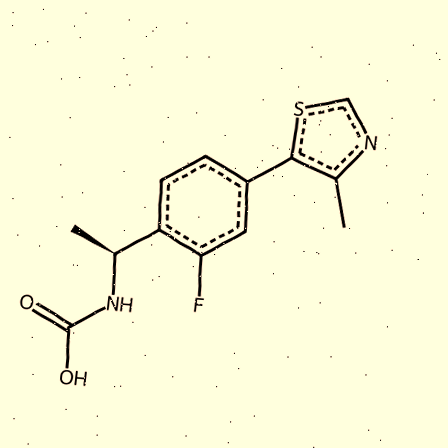 Cc1ncsc1-c1ccc([C@H](C)NC(=O)O)c(F)c1